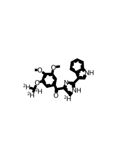 [2H]c1[nH]c(-c2c[nH]c3ccccc23)nc1C(=O)c1cc(OC)c(OC)c(OC([2H])([2H])[2H])c1